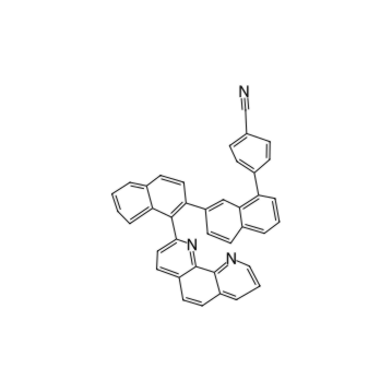 N#Cc1ccc(-c2cccc3ccc(-c4ccc5ccccc5c4-c4ccc5ccc6cccnc6c5n4)cc23)cc1